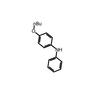 CCCCOc1ccc(Nc2ccccc2)cc1